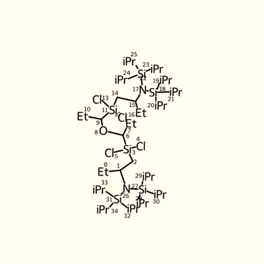 CCC(C[Si](Cl)(Cl)C(CC)OC(CC)[Si](Cl)(Cl)CC(CC)N([Si](C(C)C)(C(C)C)C(C)C)[Si](C(C)C)(C(C)C)C(C)C)N([Si](C(C)C)(C(C)C)C(C)C)[Si](C(C)C)(C(C)C)C(C)C